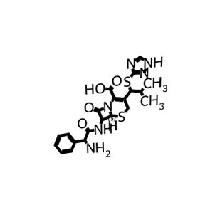 CC(C)C(Sc1nc[nH]n1)C1=C(C(=O)O)N2C(=O)C(NC(=O)C(N)c3ccccc3)[C@@H]2SC1